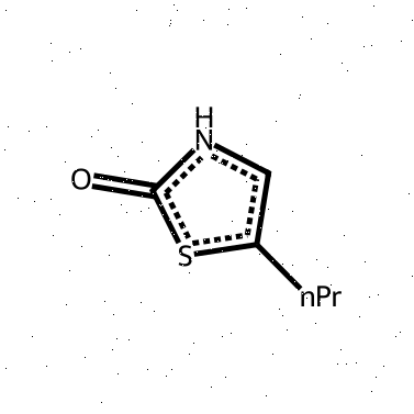 CCCc1c[nH]c(=O)s1